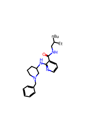 CCCCC(CC)CNC(=O)c1cccnc1NC1CCCN(Cc2ccccc2)C1